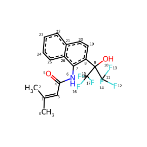 CC(C)=CC(=O)Nc1c(C(O)(C(F)(F)F)C(F)(F)F)ccc2ccccc12